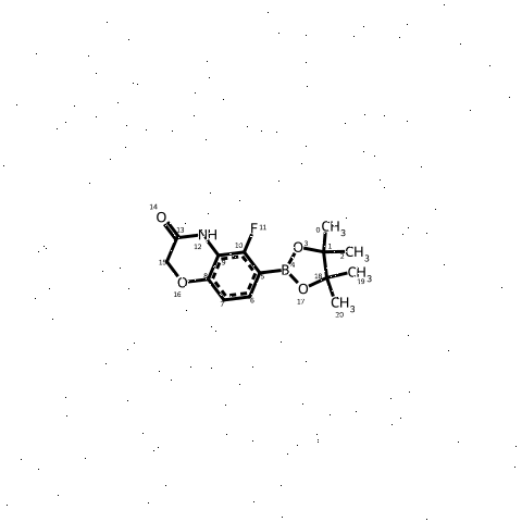 CC1(C)OB(c2ccc3c(c2F)NC(=O)CO3)OC1(C)C